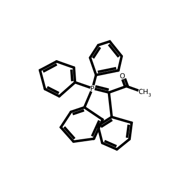 CC(=O)C(c1ccccc1)=P(c1ccccc1)(c1ccccc1)c1ccccc1